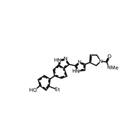 CCc1cc(O)ccc1-c1ccc2c(-c3nc(C4=CCN(C(=O)NC)C4)c[nH]3)n[nH]c2c1